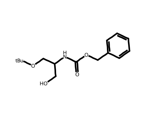 CC(C)(C)OCC(CO)NC(=O)OCc1ccccc1